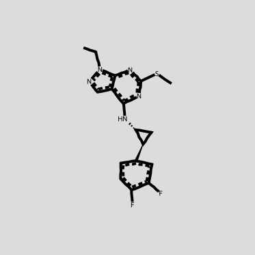 CCn1ncc2c(N[C@@H]3C[C@H]3c3ccc(F)c(F)c3)nc(SC)nc21